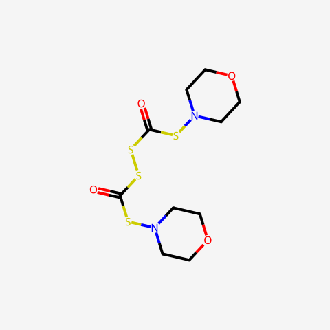 O=C(SSC(=O)SN1CCOCC1)SN1CCOCC1